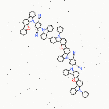 N#Cc1cc(-n2c3ccccc3c3ccc4c5ccccc5oc4c32)c(C#N)cc1-n1c2ccccc2c2c(-c3ccc4c5c6oc7c(ccc8c7c7ccccc7n8-c7cc(-n8c9ccccc9c9c%10oc%11c(ccc%12c%11c%11ccccc%11n%12-c%11ccccc%11)c%10ccc98)c(C#N)cc7C#N)c6ccc5n(-c5ccccc5)c4c3)cccc21